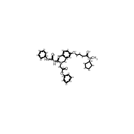 CN(C(=O)CCCOc1ccc2c(c1)CN(CC(=O)Oc1ccccc1)C(NC(=O)Nc1ccccc1)=N2)C1CCCC1